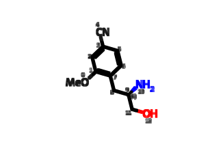 COc1cc(C#N)ccc1C[C@@H](N)CO